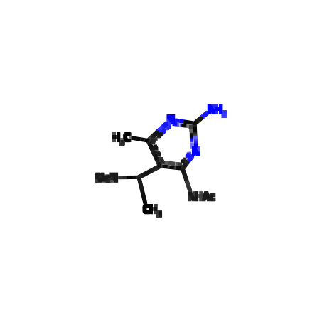 CNC(C)c1c(C)nc(N)nc1NC(C)=O